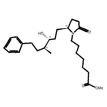 COC(=O)CCCCCCN1C(=O)CC[C@@H]1CC[C@@H](O)[C@@H](C)CCc1ccccc1